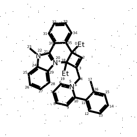 CCC12C=C(C[n+]3ccccc3-c3ccccc3C)C1(CC)[n+]1c(n(C)c3ccccc31)-c1ccccc12